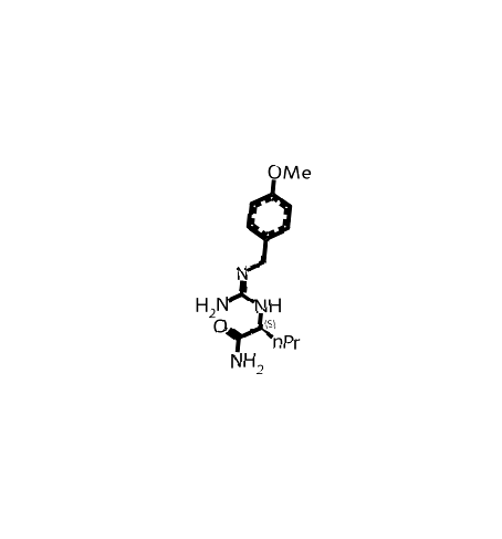 CCC[C@H](NC(N)=NCc1ccc(OC)cc1)C(N)=O